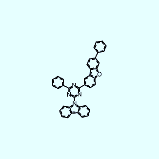 c1ccc(-c2ccc3c(c2)oc2ccc(-c4nc(-c5ccccc5)nc(-n5c6ccccc6c6ccccc65)n4)cc23)cc1